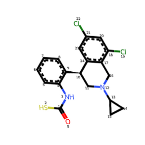 O=C(S)Nc1ccccc1[C@@H]1CN(C2CC2)Cc2c(Cl)cc(Cl)cc21